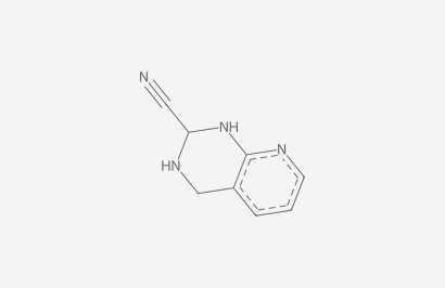 N#CC1NCc2cccnc2N1